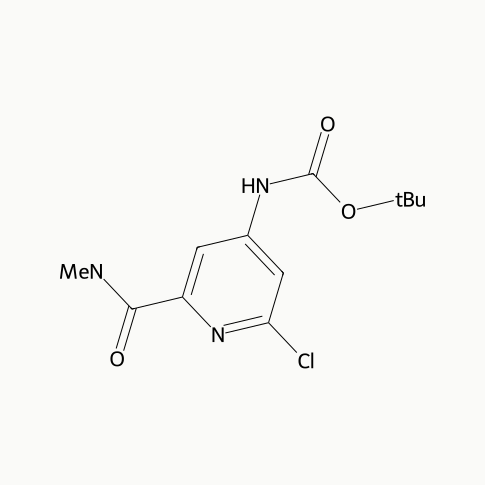 CNC(=O)c1cc(NC(=O)OC(C)(C)C)cc(Cl)n1